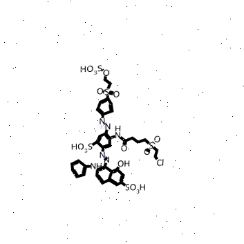 O=C(CCCS(=O)(=O)CCCl)Nc1cc(/N=N/c2c(Nc3ccccc3)ccc3cc(S(=O)(=O)O)cc(O)c23)c(S(=O)(=O)O)cc1/N=N/c1ccc(S(=O)(=O)CCOS(=O)(=O)O)cc1